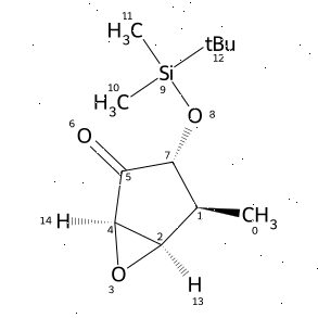 C[C@H]1[C@H]2O[C@H]2C(=O)[C@@H]1O[Si](C)(C)C(C)(C)C